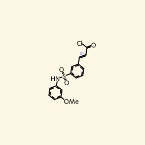 COc1cccc(NS(=O)(=O)c2cccc(/C=C/C(=O)Cl)c2)c1